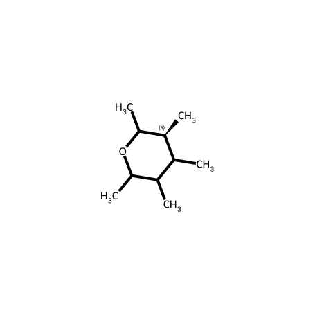 CC1OC(C)[C@@H](C)C(C)C1C